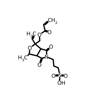 C=CC(=O)OCC1(C=C)OC(C)C2C(=O)N(CCCS(=O)(=O)O)C(=O)C21